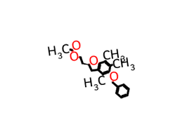 CC(=O)OCC[C@@H]1Cc2c(C)c(OCc3ccccc3)c(C)c(C)c2O1